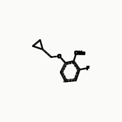 COc1c(F)c[c]cc1OCC1CC1